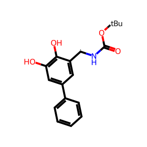 CC(C)(C)OC(=O)N[CH]c1cc(-c2ccccc2)cc(O)c1O